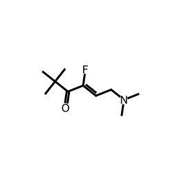 CN(C)C/C=C(\F)C(=O)C(C)(C)C